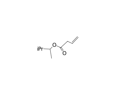 C=CCC(=O)OC(C)C(C)C